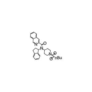 CCCCS(=O)(=O)N1CCC(N(C(=O)c2cc3ccccc3cn2)C2CCc3ccccc32)CC1